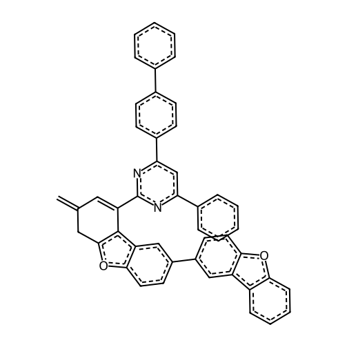 C=C1C=C(c2nc(-c3ccccc3)cc(-c3ccc(-c4ccccc4)cc3)n2)c2c(oc3ccc(-c4ccc5oc6ccccc6c5c4)cc23)C1